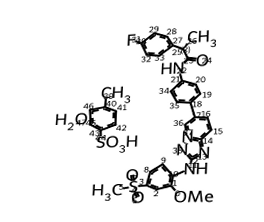 COc1cc(S(C)(=O)=O)ccc1Nc1nc2ccc(-c3ccc(NC(=O)[C@H](C)c4ccc(F)cc4)cc3)cn2n1.Cc1ccc(S(=O)(=O)O)cc1.O